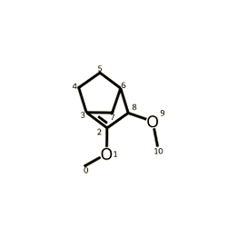 COC1=C2CCC(C2)C1OC